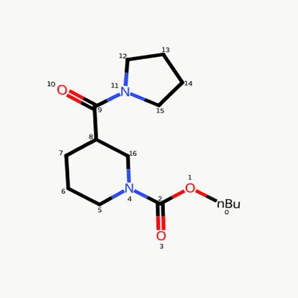 CCCCOC(=O)N1CCCC(C(=O)N2CCCC2)C1